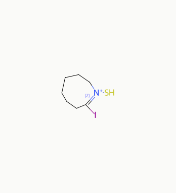 S/[N+]1=C(\I)CCCCCC1